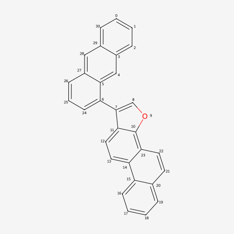 c1ccc2cc3c(-c4coc5c4ccc4c6ccccc6ccc45)cccc3cc2c1